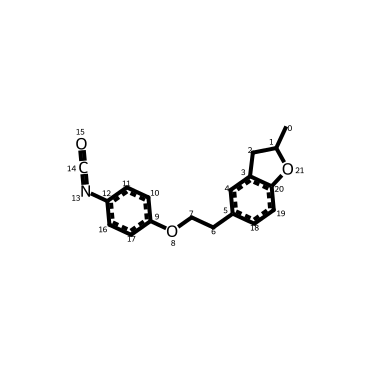 CC1Cc2cc(CCOc3ccc(N=C=O)cc3)ccc2O1